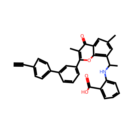 C#Cc1ccc(-c2cccc(-c3oc4c(C(C)Nc5ccccc5C(=O)O)cc(C)cc4c(=O)c3C)c2)cc1